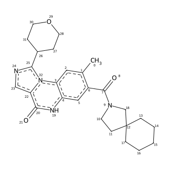 Cc1cc2c(cc1C(=O)N1CCC3(CCCCC3)C1)[nH]c(=O)c1cnc(C3CCOCC3)n12